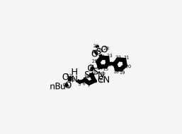 CCCCOC(=O)NCc1ccc(S(=O)(=NC#N)c2cc(-c3ccccc3)cc(S(C)(=O)=O)c2)s1